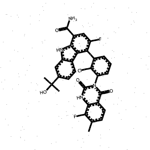 Cc1ccc2c(=O)n(-c3cccc(-c4c(F)cc(C(N)=O)c5[nH]c6cc(C(C)(C)O)ccc6c45)c3Cl)c(=O)[nH]c2c1F